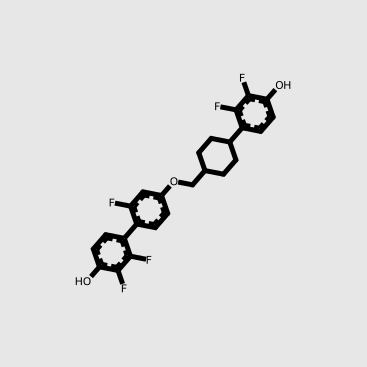 Oc1ccc(-c2ccc(OCC3CCC(c4ccc(O)c(F)c4F)CC3)cc2F)c(F)c1F